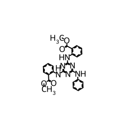 COC(=O)c1ccccc1Nc1nc(Nc2ccccc2)nc(Nc2ccccc2C(=O)OC)n1